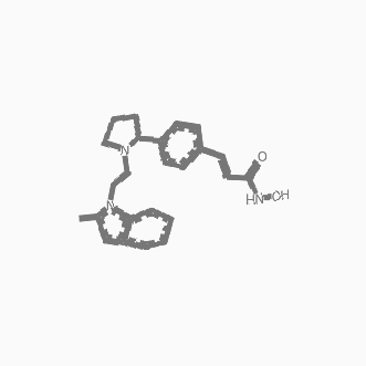 Cc1cc2ccccc2n1CCN1CCCC1c1ccc(C=CC(=O)NO)cc1